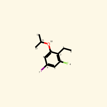 CCc1c(F)cc(I)cc1OC(C)C